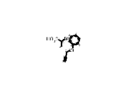 C#CCOc1ccccc1.CC(N)C(=O)O